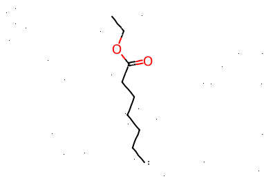 [CH]CCCCCC(=O)OCC